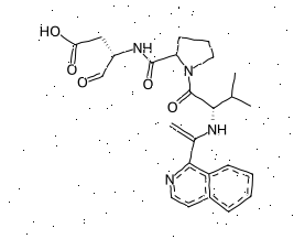 C=C(N[C@H](C(=O)N1CCCC1C(=O)N[C@H](C=O)CC(=O)O)C(C)C)c1nccc2ccccc12